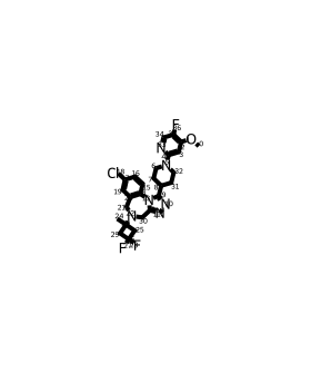 COc1cc(N2CCC(c3nnc4n3-c3ccc(Cl)cc3CN(C3(C)CC(F)(F)C3)C4)CC2)ncc1F